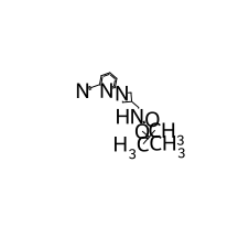 CC(C)(C)OC(=O)NCC1CN(c2cccc(C#N)n2)C1